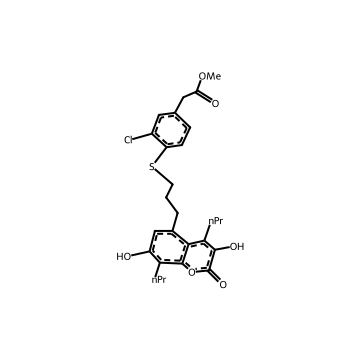 CCCc1c(O)cc(CCCSc2ccc(CC(=O)OC)cc2Cl)c2c(CCC)c(O)c(=O)oc12